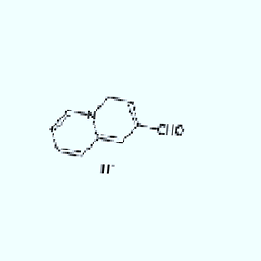 O=CC1=CCN2C=CC=CC2=C1.[H+]